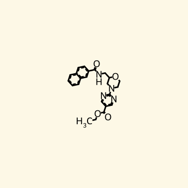 CCOC(=O)c1cnc(N2CCOC(CNC(=O)c3ccc4ccccc4c3)C2)nc1